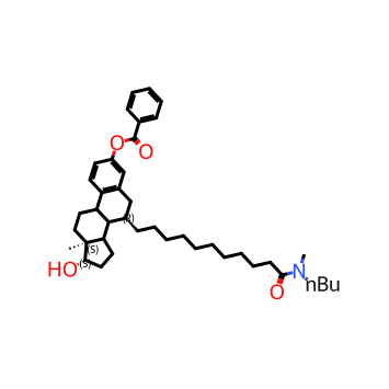 CCCCN(C)C(=O)CCCCCCCCCC[C@@H]1Cc2cc(OC(=O)c3ccccc3)ccc2C2CC[C@@]3(C)C(CC[C@@H]3O)C21